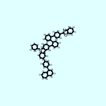 c1ccc(-n2c3ccc(-c4ccc(-c5cccc6ccccc56)cc4)cc3c3cc(-c4ccccc4-c4ccccc4-c4ccc(-c5nc6ccccc6o5)cc4)ccc32)cc1